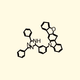 c1ccc(C2NC(c3cccc(-n4c5ccccc5c5cc6oc7ccccc7c6cc54)c3)N3C(c4ccccc4)N23)cc1